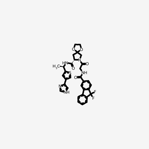 C[C@@H](NC(=O)[C@@H]1CC2(CN1C(=O)CNC(=O)c1ccc3c(c1)-c1ccccc1C3(F)F)OCCO2)c1cc(-c2c[nH]cn2)cs1